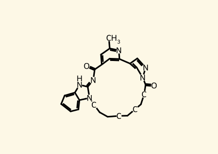 Cc1cc2cc(n1)-c1cnn(c1)C(=O)CCCCCCCCN1/C(=N/C2=O)Nc2ccccc21